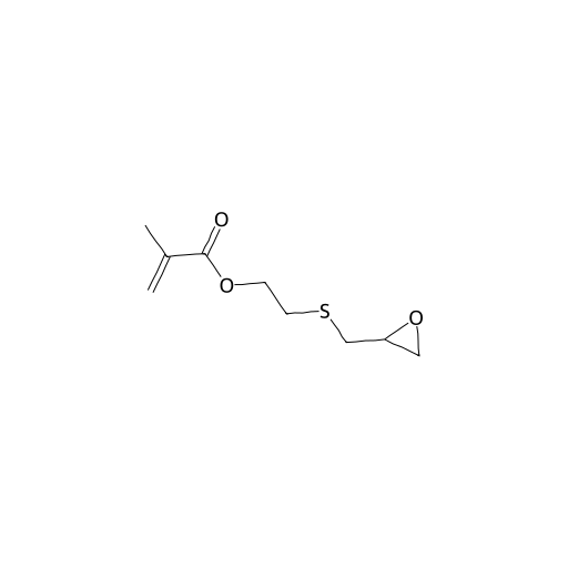 C=C(C)C(=O)OCCSCC1CO1